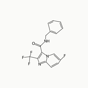 O=C(NCc1ccccc1)c1c(C(F)(F)F)nc2ccc(F)cn12